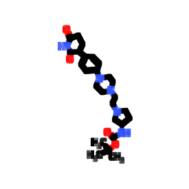 CC(C)(C)OC(=O)N[C@@H]1CCN(CCN2CCN(c3ccc(C4CCC(=O)NC4=O)cc3)CC2)C1